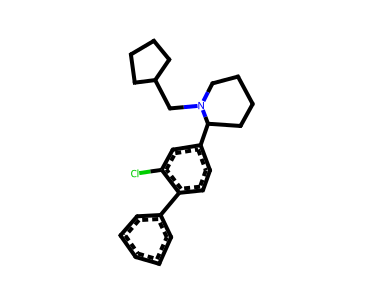 Clc1cc(C2CCCCN2CC2CCCC2)ccc1-c1ccccc1